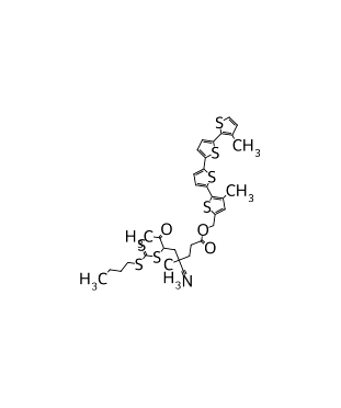 CCCCSC(=S)SC(CC(C)(C#N)CCC(=O)OCc1cc(C)c(-c2ccc(-c3ccc(-c4sccc4C)s3)s2)s1)C(C)=O